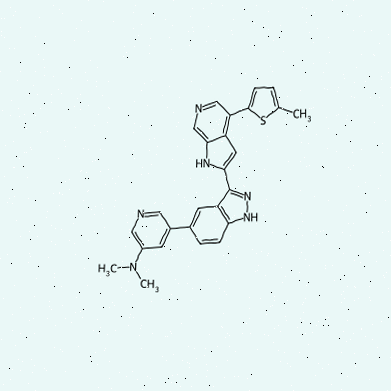 Cc1ccc(-c2cncc3[nH]c(-c4n[nH]c5ccc(-c6cncc(N(C)C)c6)cc45)cc23)s1